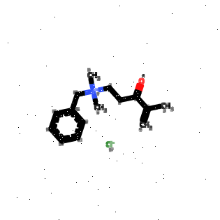 C=C(C)C(=O)CC[N+](C)(C)Cc1ccccc1.[Cl-]